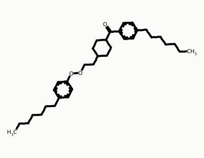 CCCCCCCc1ccc(OOCCC2CCC(C(=O)c3ccc(CCCCCCC)cc3)CC2)cc1